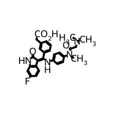 CN(C)CC(=O)N(C)c1ccc(NC(=C2C(=O)Nc3cc(F)ccc32)c2cccc(CC(=O)O)c2)cc1